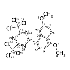 COc1ccc2c(OC)ccc(-c3nc(C(Cl)(Cl)Cl)nc(C(Cl)(Cl)Cl)n3)c2c1